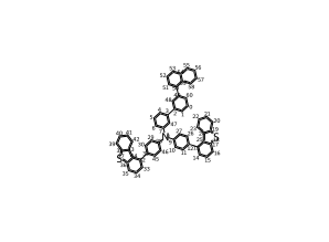 c1cc(-c2cccc(N(c3ccc(-c4cccc5sc6ccccc6c45)cc3)c3ccc(-c4cccc5sc6ccccc6c45)cc3)c2)cc(-c2cccc3ccccc23)c1